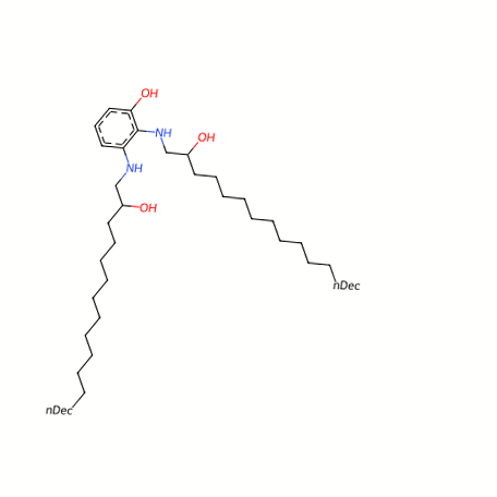 CCCCCCCCCCCCCCCCCCCCC(O)CNc1cccc(O)c1NCC(O)CCCCCCCCCCCCCCCCCCCC